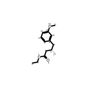 CCOC(=O)C[C@@H](C)Cc1cccc(OC)c1